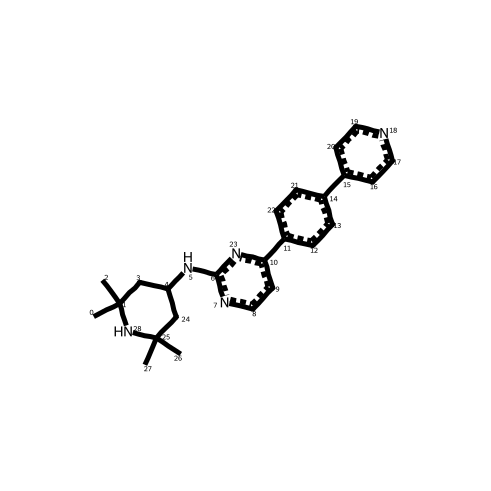 CC1(C)CC(Nc2nccc(-c3ccc(-c4ccncc4)cc3)n2)CC(C)(C)N1